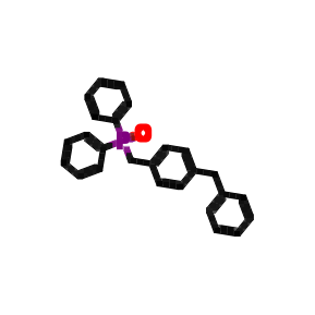 O=P(Cc1ccc(Cc2ccccc2)cc1)(c1ccccc1)c1ccccc1